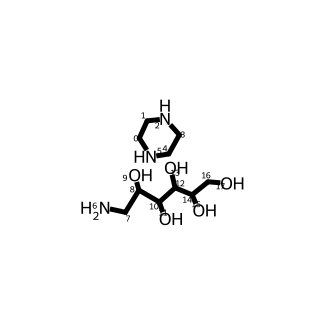 C1CNCCN1.NCC(O)C(O)C(O)C(O)CO